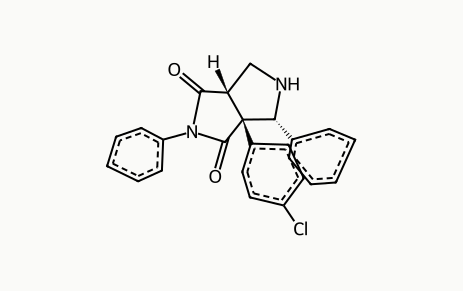 O=C1[C@@H]2CN[C@H](c3ccccc3)[C@]2(c2ccc(Cl)cc2)C(=O)N1c1ccccc1